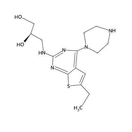 CCc1cc2c(N3CCNCC3)nc(NC[C@@H](O)CO)nc2s1